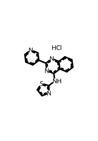 Cl.c1cncc(-c2nc(Nc3nccs3)c3ccccc3n2)c1